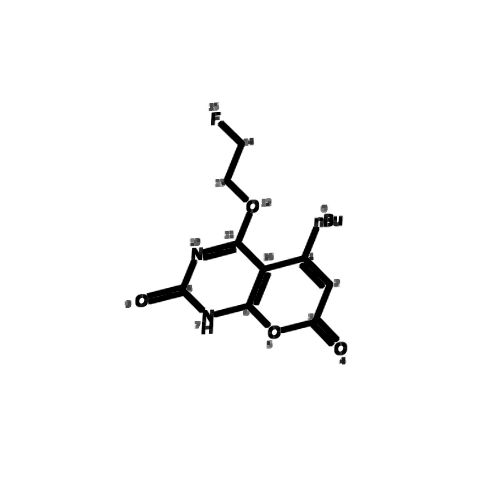 CCCCc1cc(=O)oc2[nH]c(=O)nc(OCCF)c12